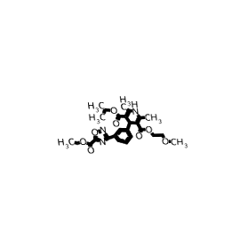 CCOC(=O)c1nc(-c2cccc(C3C(C(=O)OCCOC)=C(C)NC(C)=C3C(=O)OC(C)C)c2)no1